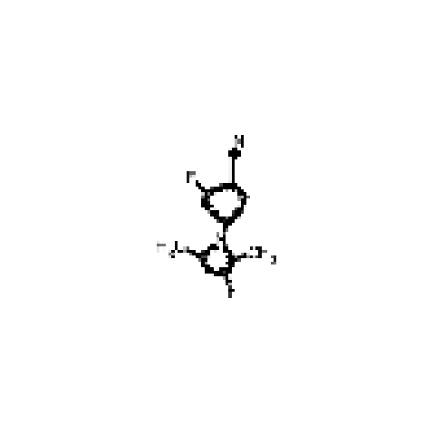 Cc1cc(F)c(C)n1-c1ccc(C#N)c(F)c1